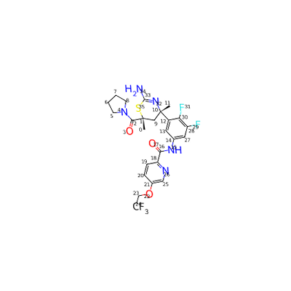 C[C@]1(C(=O)N2CCCC2)C[C@@](C)(c2cc(NC(=O)c3ccc(OCC(F)(F)F)cn3)cc(F)c2F)N=C(N)S1